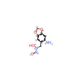 N.O=NN(O)Cc1ccc2c(c1)OCO2